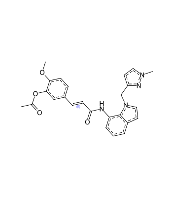 COc1ccc(/C=C/C(=O)Nc2cccc3ccn(Cc4ccn(C)n4)c23)cc1OC(C)=O